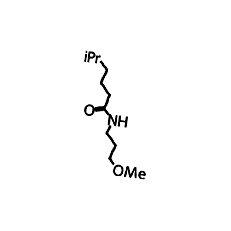 COCCCNC(=O)CCCC(C)C